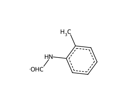 Cc1ccccc1N[C]=O